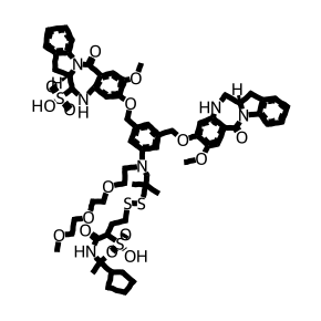 COCCOCCOCCN(CC(C)(C)SSCCC(C(=O)NC(C)(C)C1CCCC1)S(=O)(=O)O)c1cc(COc2cc3c(cc2OC)C(=O)N2c4ccccc4C[C@H]2CN3)cc(COc2cc3c(cc2OC)C(=O)N2c4ccccc4C[C@H]2C(S(=O)(=O)O)N3)c1